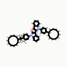 CC(C)(c1ccc(-n2c3ccccc3c3c2oc2c4ccccc4n(-c4ccc(C5CCCCCCCCCC5)cc4)c23)cc1)C1CCCCCCCCCC1